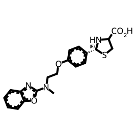 CN(CCOc1ccc([C@@H]2NC(C(=O)O)CS2)cc1)c1nc2ccccc2o1